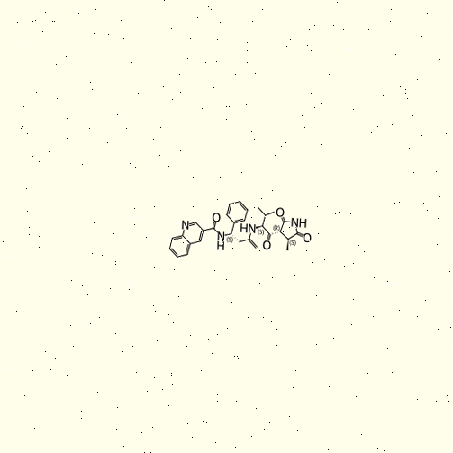 C=C(C[C@H](NC(=O)c1cnc2ccccc2c1)c1ccccc1)N[C@H](C(=O)[C@@H]1C(=O)NC(=O)[C@H]1C)C(C)C